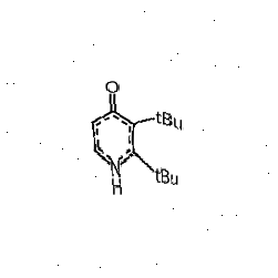 CC(C)(C)c1[nH]ccc(=O)c1C(C)(C)C